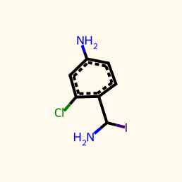 Nc1ccc(C(N)I)c(Cl)c1